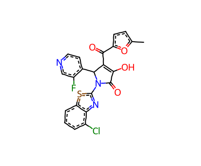 Cc1ccc(C(=O)C2=C(O)C(=O)N(c3nc4c(Cl)cccc4s3)C2c2ccncc2F)o1